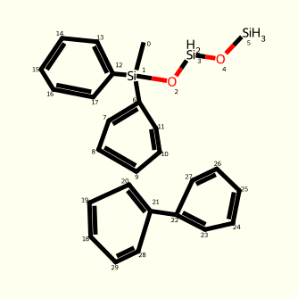 C[Si](O[SiH2]O[SiH3])(c1ccccc1)c1ccccc1.c1ccc(-c2ccccc2)cc1